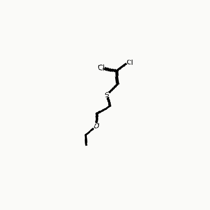 CCOCCSCC(Cl)Cl